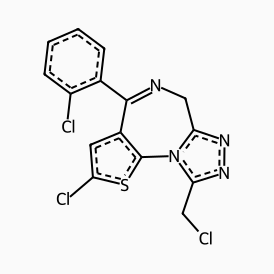 ClCc1nnc2n1-c1sc(Cl)cc1C(c1ccccc1Cl)=NC2